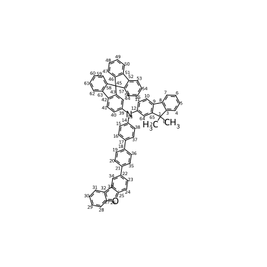 CC1(C)c2ccccc2-c2ccc(N(c3ccc(-c4ccc(-c5ccc6oc7ccccc7c6c5)cc4)cc3)c3ccc4c(c3)C3(c5ccccc5-c5ccccc53)c3ccccc3-4)cc21